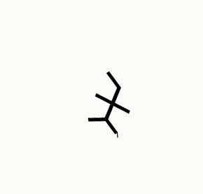 CCC(C)(C)C(C)I